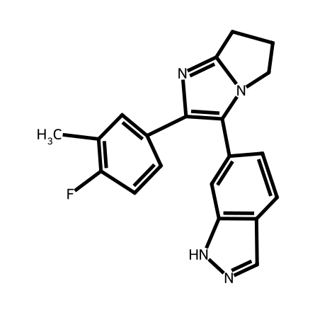 Cc1cc(-c2nc3n(c2-c2ccc4cn[nH]c4c2)CCC3)ccc1F